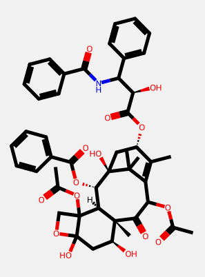 CC(=O)OC1C(=O)[C@@]2(C)[C@H]([C@H](OC(=O)c3ccccc3)[C@]3(O)C[C@H](OC(=O)[C@H](O)C(NC(=O)c4ccccc4)c4ccccc4)C(C)=C1C3(C)C)C1(OC(C)=O)COC1(O)C[C@@H]2O